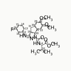 COC(=O)C(NC(=O)n1nc(Nc2cccc(F)c2)c2c1-c1cc(OC)c(OC)cc1C2)C(C)C